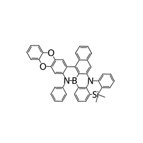 C[Si]1(C)c2ccccc2N2c3cc4ccccc4c4c3B(c3cccc1c32)N(c1ccccc1)c1cc2c(cc1-4)Oc1ccccc1O2